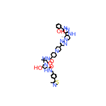 Cc1ncsc1-c1ccc(CNC(=O)[C@@H]2C[C@@H](O)CN2C(=O)[C@@H](NC(=O)C2CCC(N3CCC(c4cnc(N5CCc6[nH]c7nnc(-c8ccccc8O)cc7c6[C@H]5C)nc4)CC3)CC2)C(C)(C)C)cc1